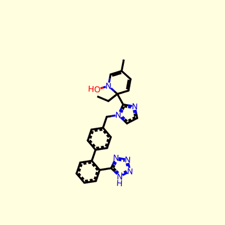 CCC1(c2nccn2Cc2ccc(-c3ccccc3-c3nnn[nH]3)cc2)C=CC(C)=CN1O